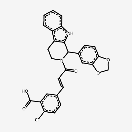 O=C(O)c1cc(/C=C/C(=O)N2CCc3c([nH]c4ccccc34)C2c2ccc3c(c2)OCO3)ccc1Cl